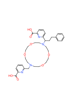 O=C(O)c1cccc(CN2CCOCCOCCN(C(CCc3ccccc3)c3cccc(C(=O)O)n3)CCOCCOCC2)n1